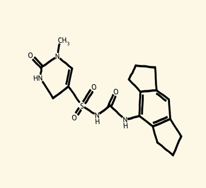 CN1C=C(S(=O)(=O)NC(=O)Nc2c3c(cc4c2CCC4)CCC3)CNC1=O